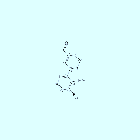 O=Cc1cccc(-c2cccc(F)c2F)c1